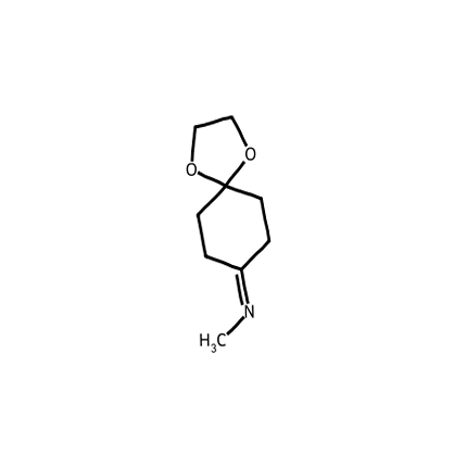 CN=C1CCC2(CC1)OCCO2